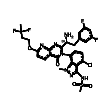 Cn1nc(NS(C)(=O)=O)c2c(Cl)ccc(-n3c([C@@H](N)Cc4cc(F)cc(F)c4)nc4nc(OCCC(C)(F)F)ccc4c3=O)c21